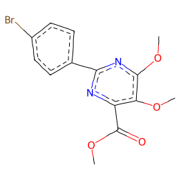 COC(=O)c1nc(-c2ccc(Br)cc2)nc(OC)c1OC